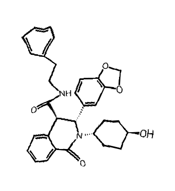 O=C(NCCc1ccccc1)[C@@H]1c2ccccc2C(=O)N([C@H]2CC[C@H](O)CC2)[C@H]1c1ccc2c(c1)OCO2